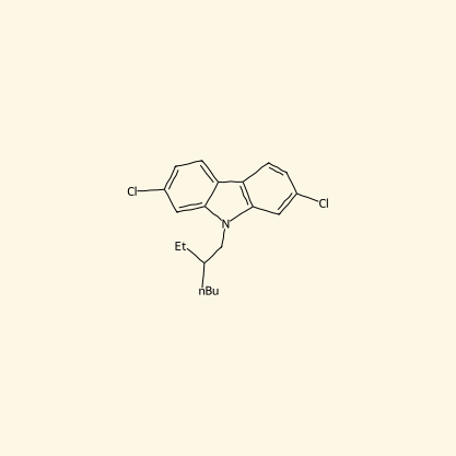 CCCCC(CC)Cn1c2cc(Cl)ccc2c2ccc(Cl)cc21